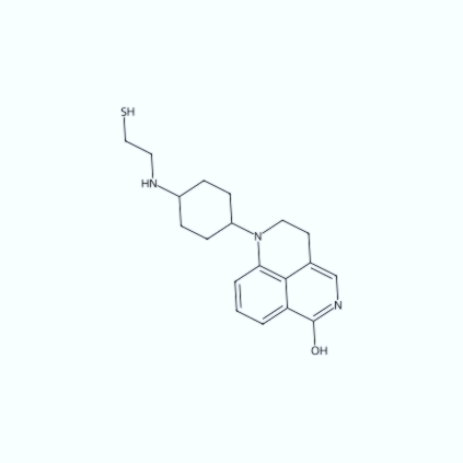 Oc1ncc2c3c(cccc13)N(C1CCC(NCCS)CC1)CC2